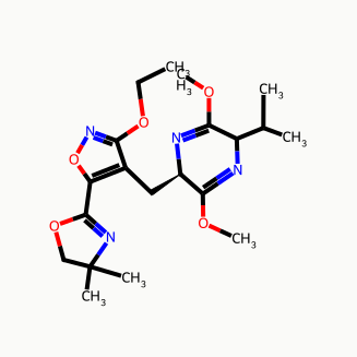 CCOc1noc(C2=NC(C)(C)CO2)c1C[C@H]1N=C(OC)C(C(C)C)N=C1OC